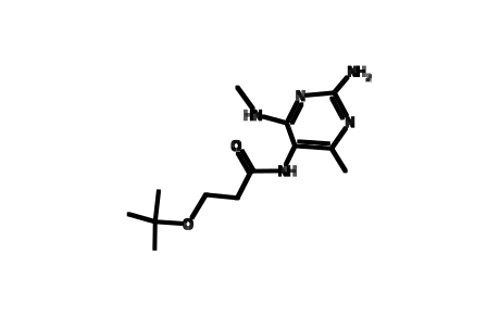 CNc1nc(N)nc(C)c1NC(=O)CCOC(C)(C)C